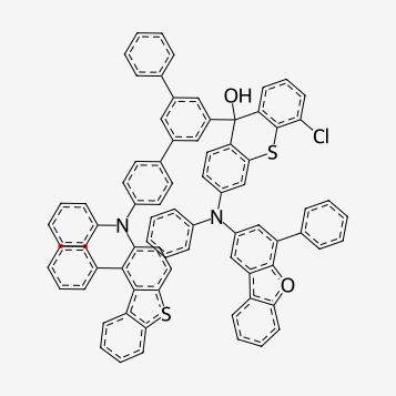 OC1(c2cc(-c3ccccc3)cc(-c3ccc(N(c4ccccc4)c4ccc5sc6ccccc6c5c4-c4ccccc4)cc3)c2)c2ccc(N(c3ccccc3)c3cc(-c4ccccc4)c4oc5ccccc5c4c3)cc2Sc2c(Cl)cccc21